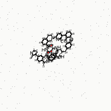 Cc1ncsc1-c1ccc([C@H](C)NC(=O)[C@@H]2C[C@@H](O)CN2C(=O)C(NC(=O)CC(Cc2ccc(Oc3cccc(-c4ccc(N5CCc6cccc(C(=O)Nc7nc8ccccc8s7)c6C5)nc4C(=O)O)c3C)cc2)C(F)(F)F)C(C)(C)C)cc1